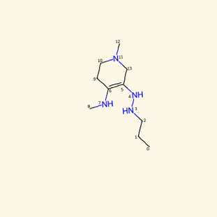 CCCNNC1=C(NC)CCN(C)C1